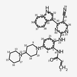 C=CC(=O)Nc1cc(N2CCC(N3CCCCC3)CC2)ccc1Nc1ncc(C#N)c(-c2c[nH]c3ccccc23)n1